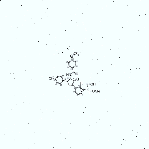 COCC(CO)n1cccc(N2C[C@@H](c3ccc(Cl)cc3)[C@H](NC(=O)c3ccc(OC(F)(F)F)cc3)C2=O)c1=O